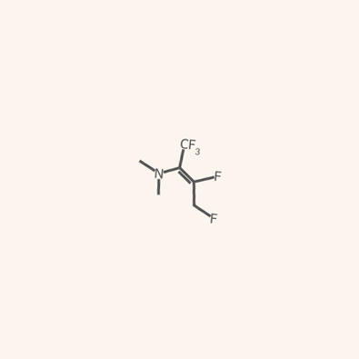 CN(C)/C(=C(/F)CF)C(F)(F)F